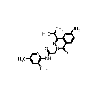 Bc1ccc2c(=O)n(CC(=O)Nc3ncc(C)cc3P)nc(C(C)C)c2c1